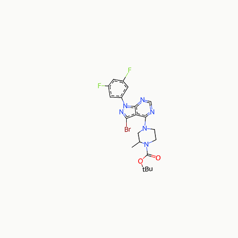 CC1CN(c2ncnc3c2c(Br)nn3-c2cc(F)cc(F)c2)CCN1C(=O)OC(C)(C)C